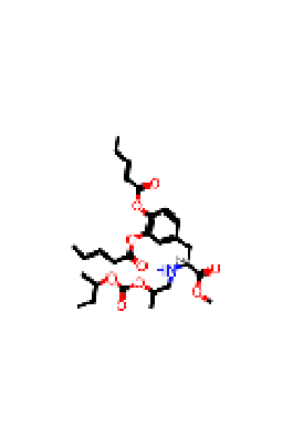 CCCCC(=O)Oc1ccc(C[C@H](NCC(C)OC(=O)OC(C)CC)C(=O)OC)cc1OC(=O)CCCC